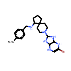 COc1ccc(CNC2CCCC23CCN(C2NC4NC=C(Br)NC4N2)CC3)cc1